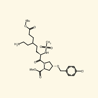 COC(=O)[C@@H]1C[C@@H](OCc2ccc(Cl)cc2)CN1C(=O)[C@@H](CCC(CCN)CCC(=O)OC(C)(C)C)NS(C)(=O)=O